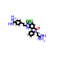 Cl.Cl.Cn1c(CCc2ccc(C(=N)N)cc2)nc2cc(C(=O)N(CCC(=N)N)c3ccccc3)ccc21